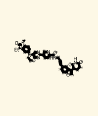 CCn1c(=O)n(C)c2ccc(N3CCOc4nc(-c5ccc(C(=O)NCC#Cc6ccc7occ(C8CCC(=O)NC8=O)c7c6)nc5)ncc43)cc21